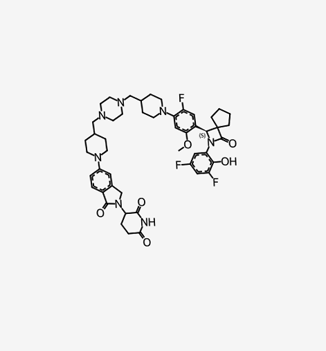 COc1cc(N2CCC(CN3CCN(CC4CCN(c5ccc6c(c5)CN(C5CCC(=O)NC5=O)C6=O)CC4)CC3)CC2)c(F)cc1[C@@H]1N(c2cc(F)cc(F)c2O)C(=O)C12CCCC2